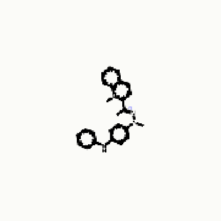 C/C(=N\N(C)c1ccc(Nc2ccccc2)cc1)c1ccc2ccccc2[n+]1C